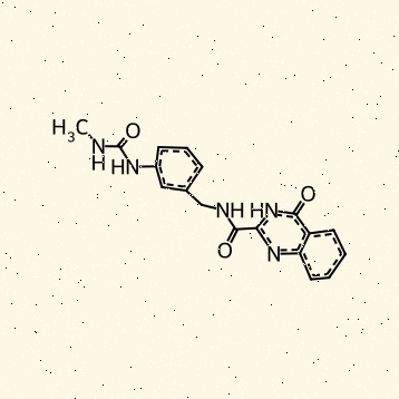 CNC(=O)Nc1cccc(CNC(=O)c2nc3ccccc3c(=O)[nH]2)c1